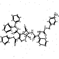 O=C(NC(C(=O)NC1C(=O)N2C(C(=O)OC(c3ccccc3)c3ccccc3)=C(C(=O)Cc3ccccc3)CS[C@@H]12)C1=CCC=CC1)OCc1ccc([N+](=O)[O-])cc1